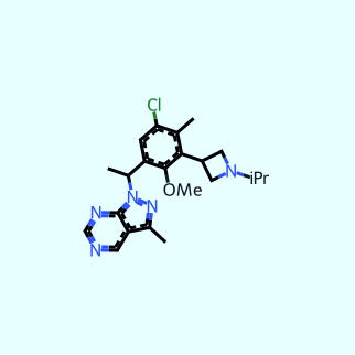 COc1c(C(C)n2nc(C)c3cncnc32)cc(Cl)c(C)c1C1CN(C(C)C)C1